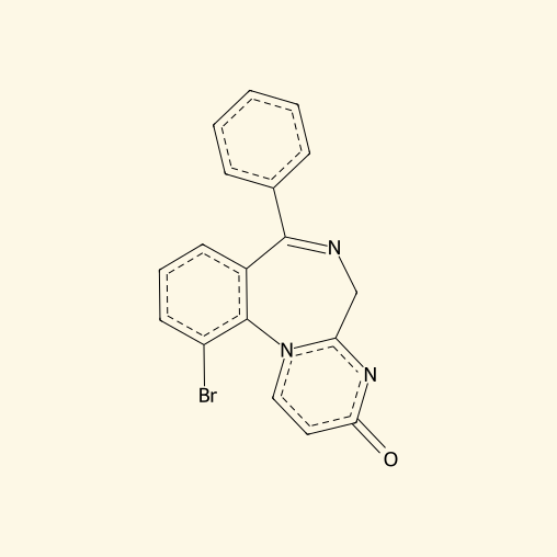 O=c1ccn2c(n1)CN=C(c1ccccc1)c1cccc(Br)c1-2